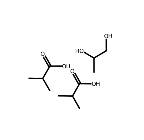 CC(C)C(=O)O.CC(C)C(=O)O.CC(O)CO